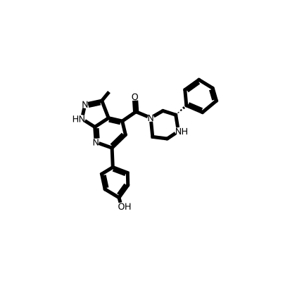 Cc1n[nH]c2nc(-c3ccc(O)cc3)cc(C(=O)N3CCN[C@@H](c4ccccc4)C3)c12